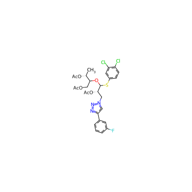 CC(=O)OCC(OC(Sc1ccc(Cl)c(Cl)c1)[C@H](Cn1cc(-c2cccc(F)c2)nn1)OC(C)=O)[C@@H](C)OC(C)=O